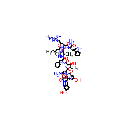 CNC(=N)NCCC[C@H](NC(=O)[C@H](CC(C)C)NC(=O)[C@H](C)NC(=O)[C@H](CC1CCCCC1)NC(=O)[C@@H](NC(=O)[C@H](CC(N)=O)NC(=O)[C@@H]1C[C@@H](O)CN1C(=O)[C@@H](Cc1ccc(O)cc1)NC(C)=O)[C@@H](C)O)C(=O)N[C@@H](Cc1c[nH]c2ccccc12)C(N)=O